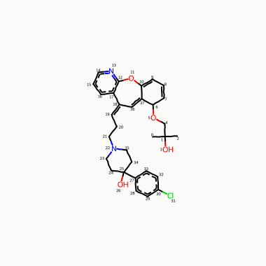 CC(C)(O)COC1C=CC=C2Oc3ncccc3C(=CCCN3CCC(O)(c4ccc(Cl)cc4)CC3)C=C21